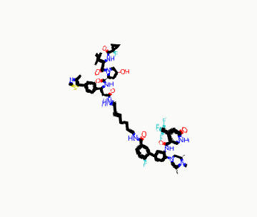 Cc1ncsc1-c1ccc(C(CC(=O)NCCCCCCCNC(=O)c2ccc(F)c(-c3ccc(N4C[C@@H](C)N(C)[C@@H](C)C4)c(NC(=O)c4c[nH]c(=O)cc4C(F)(F)F)c3)c2)NC(=O)[C@@H]2C[C@@H](O)CN2C(=O)C(NC(=O)C2(F)CC2)C(C)(C)C)cc1